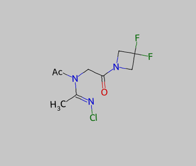 CC(=O)N(CC(=O)N1CC(F)(F)C1)C(C)=NCl